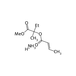 CC=CC(=O)OC(C)(CC)C(=O)OC.N.[H+]